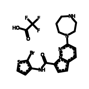 O=C(Nc1ccsc1Br)c1ccc2ccc(N3CCCNCC3)nn12.O=C(O)C(F)(F)F